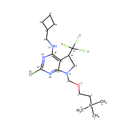 C[Si](C)(C)CCOCN1CC(C(F)(F)F)c2c(NCC3CCC3)nc(Cl)nc21